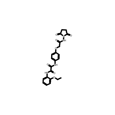 CCOc1ccccc1NC(=O)C(=O)Nc1ccc(OCC(=O)NN2C(=O)CCC2=O)cc1